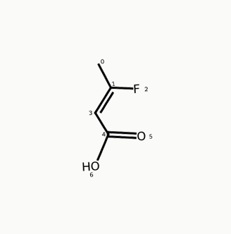 CC(F)=CC(=O)O